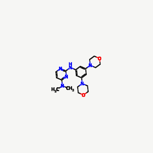 CN(C)c1ccnc(Nc2cc(N3CCOCC3)cc(N3CCOCC3)c2)n1